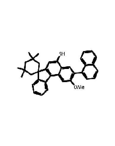 COc1cc2c3c(cc(S)c2cc1-c1cccc2ccccc12)C1(CC(C)(C)CC(C)(C)C1)c1ccccc1-3